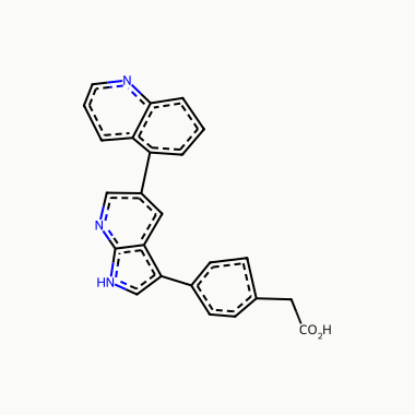 O=C(O)Cc1ccc(-c2c[nH]c3ncc(-c4cccc5ncccc45)cc23)cc1